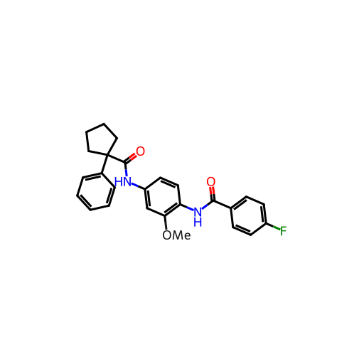 COc1cc(NC(=O)C2(c3ccccc3)CCCC2)ccc1NC(=O)c1ccc(F)cc1